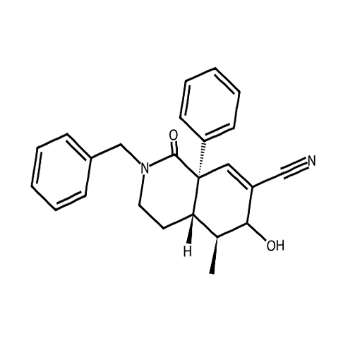 C[C@@H]1C(O)C(C#N)=C[C@]2(c3ccccc3)C(=O)N(Cc3ccccc3)CC[C@@H]12